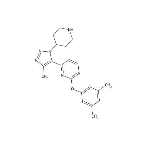 Cc1cc(C)cc(Oc2nccc(-c3c(C)nnn3C3CCNCC3)n2)c1